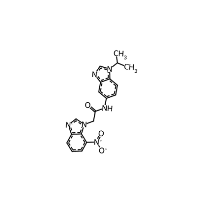 CC(C)n1cnc2cc(NC(=O)Cn3cnc4cccc([N+](=O)[O-])c43)ccc21